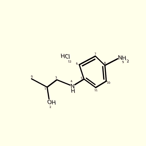 CC(O)CNc1ccc(N)cc1.Cl